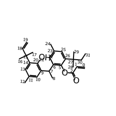 C=CC(=O)Oc1c(C(C)c2cc(C)cc(C(C)(C)C=C)c2O)cc(C)cc1C(C)(C)CC